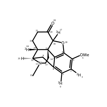 [2H]c1c([2H])c(OC)c2c3c1C[C@H]1N(C)CC[C@@]34C([2H])(O2)C(=O)CC[C@@]14[2H]